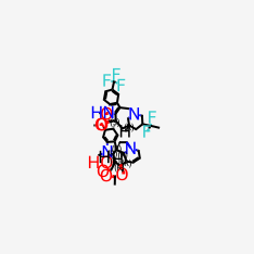 CC[C@]12C=CCN3CC[C@@]4(C5=CC([C@@]6(C(=O)OC)C[C@H]7CC(C(C)(F)F)CN(Cc8c6[nH]c6ccc(C(F)(F)F)cc86)C7)C(OC)C=C5N(C)[C@H]4[C@@](O)(C=O)[C@@H]1OC(C)=O)[C@@H]32